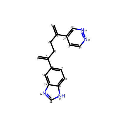 C=C(CCC(=C)c1ccc2[nH]cnc2c1)c1ccnnc1